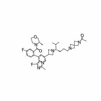 CC(=O)N1CC2(CN(CCC[C@H](C(C)C)N3CC(c4cc(-c5ccc(F)cc5C(=O)N5CCOC[C@H]5C)c5c(F)nc(C)n5c4)C3)C2)C1